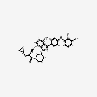 N#CC(=CC1CC1)C(=O)N1CCCC(n2nc(-c3ccc(Oc4cccc(F)c4F)cc3)c3c(N)ncnc32)C1